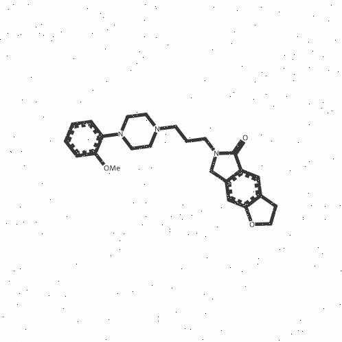 COc1ccccc1N1CCN(CCCN2Cc3cc4c(cc3C2=O)CCO4)CC1